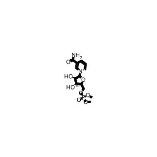 COP(=O)(OC)OCC1OC([n+]2cccc(C(N)=O)c2)[C@H](O)[C@@H]1O